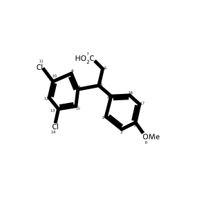 COc1ccc(C(CC(=O)O)c2cc(Cl)cc(Cl)c2)cc1